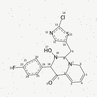 O=C1C2=CC=CCN2C(Cc2cnc(Cl)s2)N(O)C1c1ccc(F)cc1